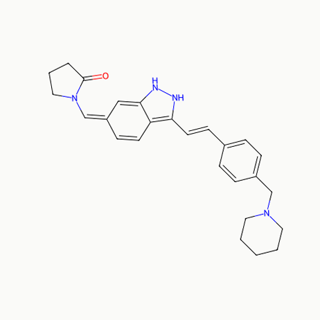 O=C1CCCN1C=c1ccc2c(c1)NNC=2C=Cc1ccc(CN2CCCCC2)cc1